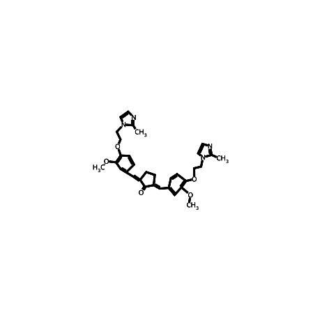 COc1cc(/C=C2\CC/C(=C\c3ccc(OCCn4ccnc4C)c(OC)c3)C2=O)ccc1OCCn1ccnc1C